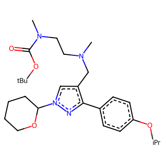 CC(C)Oc1ccc(-c2nn(C3CCCCO3)cc2CN(C)CCN(C)C(=O)OC(C)(C)C)cc1